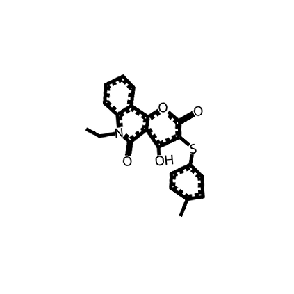 CCn1c(=O)c2c(O)c(Sc3ccc(C)cc3)c(=O)oc2c2ccccc21